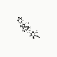 CCc1c(-c2ccncc2)n[nH]c1NC(=O)CCc1cc(F)c(C#N)c(F)c1